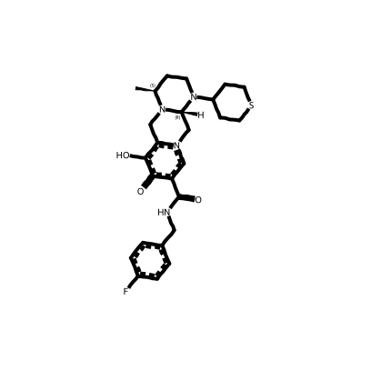 C[C@H]1CCN(C2CCSCC2)[C@@H]2Cn3cc(C(=O)NCc4ccc(F)cc4)c(=O)c(O)c3CN12